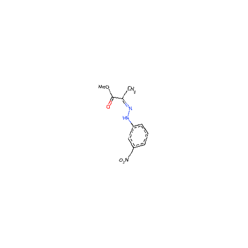 COC(=O)C(C)=NNc1cccc([N+](=O)[O-])c1